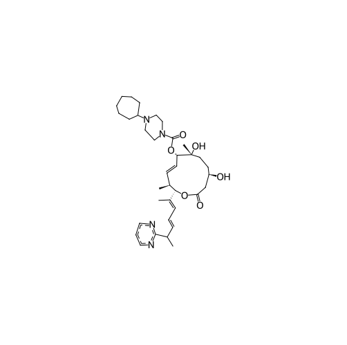 C/C(=C\C=C\C(C)c1ncccn1)[C@H]1OC(=O)C[C@H](O)CC[C@@](C)(O)[C@@H](OC(=O)N2CCN(C3CCCCCC3)CC2)/C=C/[C@@H]1C